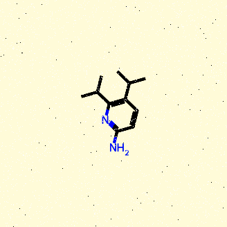 CC(C)c1ccc(N)nc1C(C)C